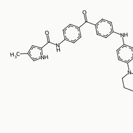 Cc1c[nH]c(C(=O)Nc2ccc(C(=O)c3ccc(Nc4ccc(N5CCC(O)CC5)cc4)cc3)cc2)c1